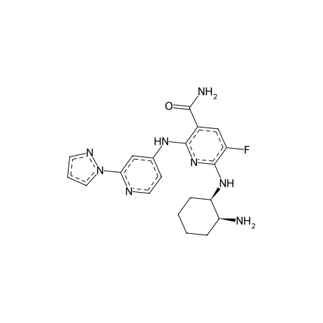 NC(=O)c1cc(F)c(N[C@@H]2CCCC[C@@H]2N)nc1Nc1ccnc(-n2cccn2)c1